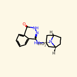 CCOC(=O)N1[C@@H]2CC[C@H]1C[C@H](Nc1n[nH]c(=O)c3ccccc13)C2